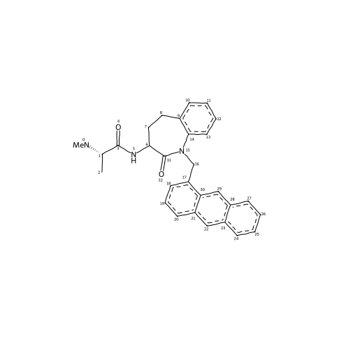 CN[C@@H](C)C(=O)NC1CCc2ccccc2N(Cc2cccc3cc4ccccc4cc23)C1=O